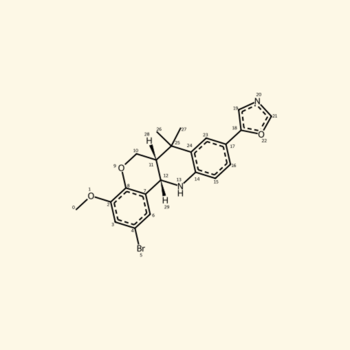 COc1cc(Br)cc2c1OC[C@H]1[C@@H]2Nc2ccc(-c3cnco3)cc2C1(C)C